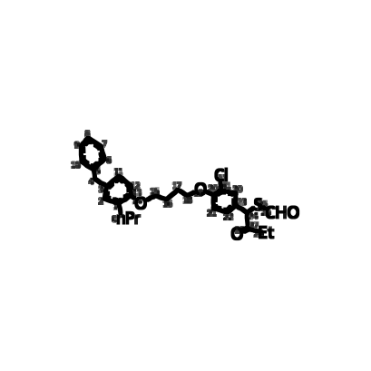 CCCc1cc(Cc2ccccc2)ccc1OCCCCOc1ccc(C(SC=O)C(=O)CC)cc1Cl